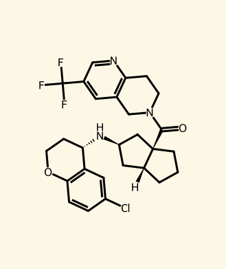 O=C(N1CCc2ncc(C(F)(F)F)cc2C1)[C@@]12CCC[C@@H]1C[C@@H](N[C@H]1CCOc3ccc(Cl)cc31)C2